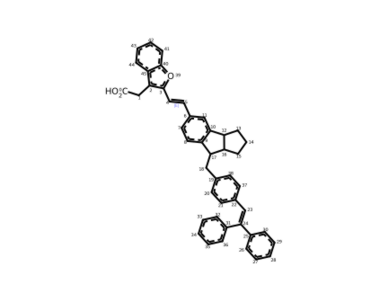 O=C(O)Cc1c(/C=C/c2ccc3c(c2)C2CCCC2C3Cc2ccc(C=C(c3ccccc3)c3ccccc3)cc2)oc2ccccc12